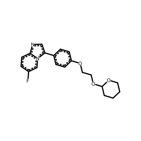 Fc1ccc2ncc(-c3ccc(OCCOC4CCCCO4)cc3)n2c1